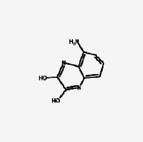 Nc1cccc2nc(O)c(O)nc12